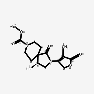 CC1=C(N2C[C@@H](O)C3(CCN(C(=O)OC(C)(C)C)CC3)C2=O)COC1=O